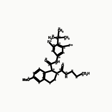 COc1ccc2c(c1)CCN(C(=O)NCCC(=O)O)C2C(=O)Nc1cc(F)c([Si](C)(C)C)c(F)c1